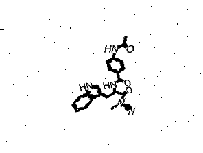 CC(=O)Nc1ccc(C(=O)NC(Cc2c[nH]c3ccccc23)C(=O)N(C)C#N)cc1